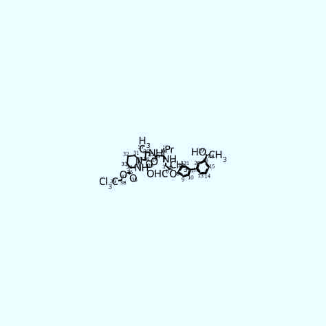 CC(C)[C@H](NC[C@](C)(C=O)Oc1ccc(-c2cccc([C@@H](C)O)c2)cc1)C(=O)N[C@@H](C)C(=O)N1CCC[C@@H](C(=O)OCC(Cl)(Cl)Cl)N1